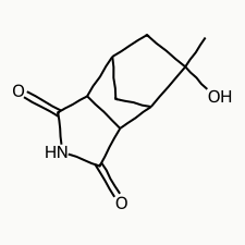 CC1(O)CC2CC1C1C(=O)NC(=O)C21